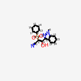 Cn1nc(/C(O)=C(/C#N)S(=O)(=O)c2ccccc2)c2ccccc21